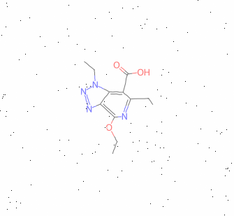 CCOc1nc(CC)c(C(=O)O)c2c1nnn2CC